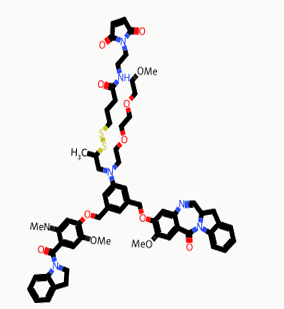 CNc1cc(OCc2cc(COc3cc4c(cc3OC)C(=O)N3c5ccccc5CC3C=N4)cc(N(CCOCCOCCOC)CC(C)SSCCCC(=O)NCCN3C(=O)C=CC3=O)c2)c(OC)cc1C(=O)N1CCc2ccccc21